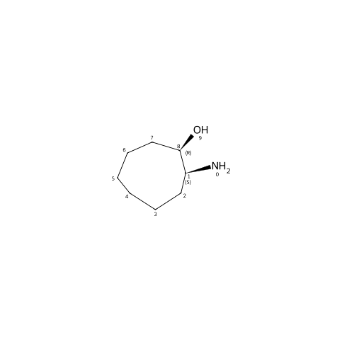 N[C@H]1CCCCCC[C@H]1O